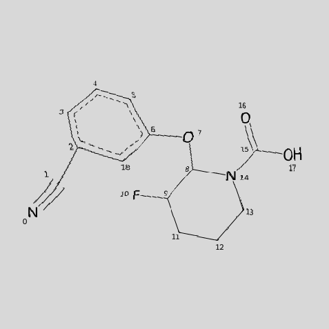 N#Cc1cccc(OC2C(F)CCCN2C(=O)O)c1